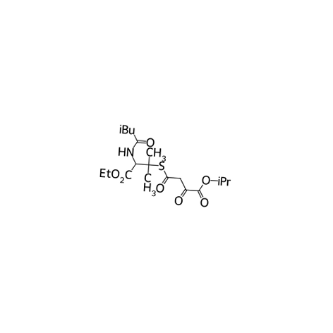 CCOC(=O)C(NC(=O)C(C)CC)C(C)(C)SC(=O)CC(=O)C(=O)OC(C)C